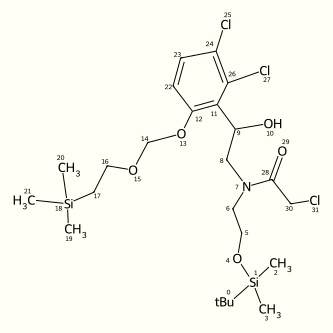 CC(C)(C)[Si](C)(C)OCCN(CC(O)c1c(OCOCC[Si](C)(C)C)ccc(Cl)c1Cl)C(=O)CCl